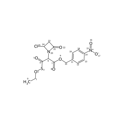 CCOSC(=O)C(C(=O)OCc1ccc([N+](=O)[O-])cc1)N1C(=O)CC1Cl